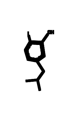 CC(C)Cc1ccc(I)c(O)c1